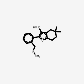 CC1(C)CCc2oc(-c3ccccc3CON)c(C(=O)O)c2C1